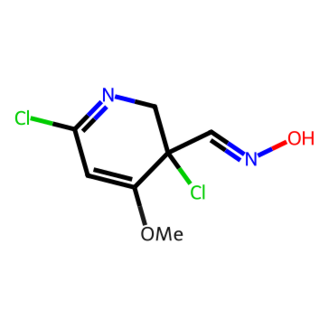 COC1=CC(Cl)=NCC1(Cl)C=NO